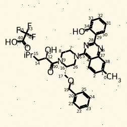 Cc1ccc2c(N3CCN(C(=O)[C@H](O)CC(C)C)[C@@H](COCc4ccccc4)C3)nc(-c3ccccc3O)nc2c1.O=C(O)C(F)(F)F